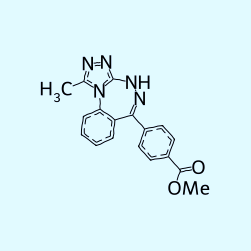 COC(=O)c1ccc(C2=NNc3nnc(C)n3-c3ccccc32)cc1